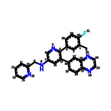 Cc1cc(-c2ncc(NCc3ccccn3)cc2-c2ccc3nccnc3c2)ccc1F